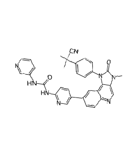 Cn1c(=O)n(-c2ccc(C(C)(C)C#N)cc2)c2c3cc(-c4ccc(NC(=O)Nc5cccnc5)nc4)ccc3ncc21